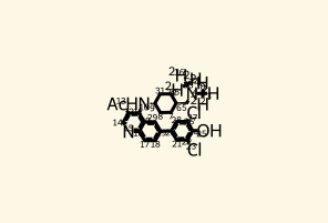 [2H]C([2H])([2H])N(C[C@H]1CC[C@H](Nc2c(C(C)=O)cnc3ccc(-c4cc(Cl)c(O)c(Cl)c4)cc23)CC1)C([2H])([2H])[2H]